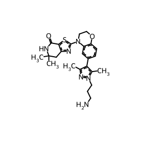 Cc1nn(CCCN)c(C)c1-c1ccc2c(c1)N(c1nc3c(s1)C(=O)NC(C)(C)C3)CCO2